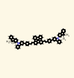 CC1(C)c2ccccc2-c2ccc(-n3c4ccccc4c4cc(-c5ccc(/C=C/c6ccc7c(c6)C6(c8ccccc8-c8ccccc86)c6cc(/C=C/c8ccc(-c9ccc%10c(c9)c9ccccc9n%10-c9ccc%10c(c9)C(C)(C)c9ccccc9-%10)cc8)ccc6-7)cc5)ccc43)cc21